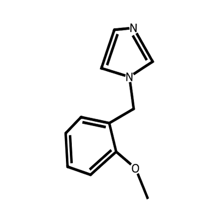 COc1ccccc1Cn1ccnc1